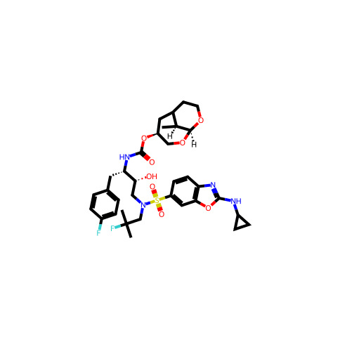 C[C@H]1C2CCO[C@H]1OC[C@@H](OC(=O)N[C@@H](Cc1ccc(F)cc1)[C@H](O)CN(CC(C)(C)F)S(=O)(=O)c1ccc3nc(NC4CC4)oc3c1)C2